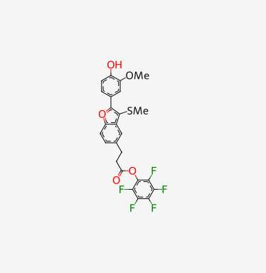 COc1cc(-c2oc3ccc(CCC(=O)Oc4c(F)c(F)c(F)c(F)c4F)cc3c2SC)ccc1O